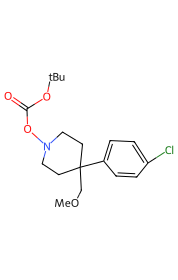 COCC1(c2ccc(Cl)cc2)CCN(OC(=O)OC(C)(C)C)CC1